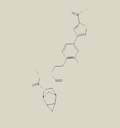 COC(=O)c1cc(-c2ccc(C[C@@H](C#N)NC(=O)[C@@H]3[C@@H]4C[C@@H](C5C4[C@@H]5C)N3C(=O)OC(C)(C)C)c(F)c2)cs1